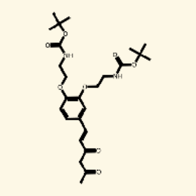 CC(=O)CC(=O)/C=C/c1ccc(OCCNC(=O)OC(C)(C)C)c(OCCNC(=O)OC(C)(C)C)c1